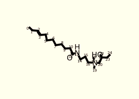 CC/C=C/CCCCCCCC(=O)NCCC[N+](C)(C)CC(O)CC